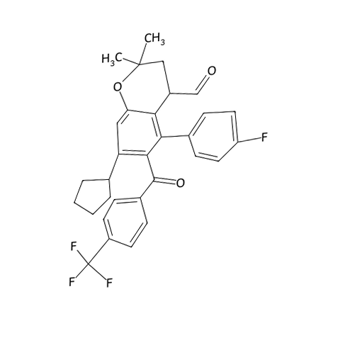 CC1(C)CC(C=O)c2c(cc(C3CCCC3)c(C(=O)c3ccc(C(F)(F)F)cc3)c2-c2ccc(F)cc2)O1